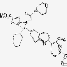 CCOc1ncc(-c2ccc3cc(-c4c(C5CCCCC5)c5sc(C(=O)O)cc5n4CC(=O)N4CCOCC4)ccc3n2)c(C)n1